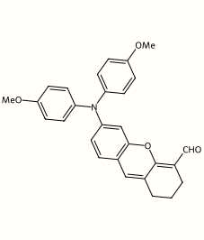 COc1ccc(N(c2ccc(OC)cc2)c2ccc3c(c2)OC2=C(C=O)CCCC2=C3)cc1